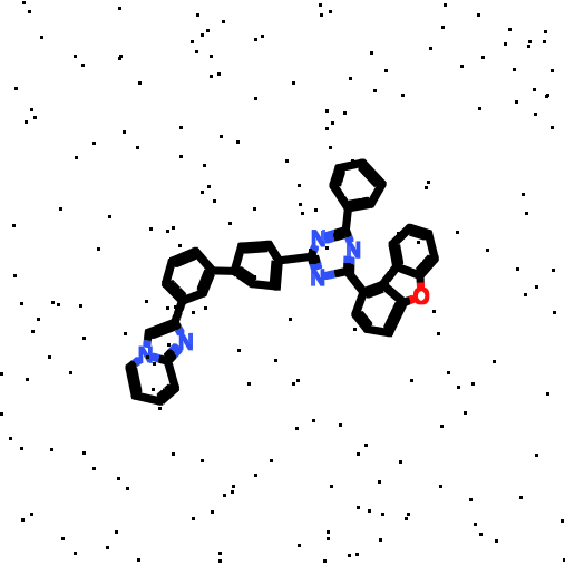 c1ccc(-c2nc(-c3ccc(-c4cccc(-c5cn6ccccc6n5)c4)cc3)nc(-c3cccc4oc5ccccc5c34)n2)cc1